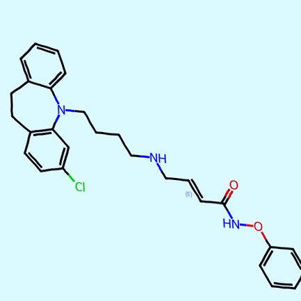 O=C(/C=C/CNCCCCN1c2ccccc2CCc2ccc(Cl)cc21)NOc1ccccc1